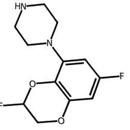 Fc1cc2c(c(N3CCNCC3)c1)OC(F)CO2